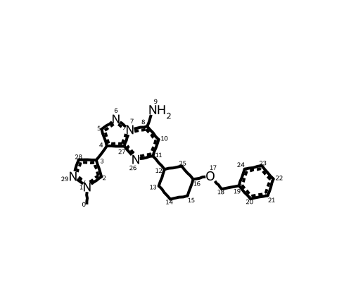 Cn1cc(-c2cnn3c(N)cc(C4CCCC(OCc5ccccc5)C4)nc23)cn1